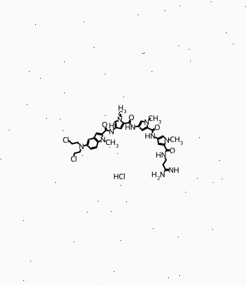 Cl.Cn1cc(NC(=O)c2cc(NC(=O)c3cc(NC(=O)c4cc5cc(N(CCCl)CCCl)ccc5n4C)cn3C)cn2C)cc1C(=O)NCCC(=N)N